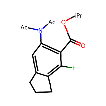 CC(=O)N(C(C)=O)c1cc2c(c(F)c1C(=O)OC(C)C)CCC2